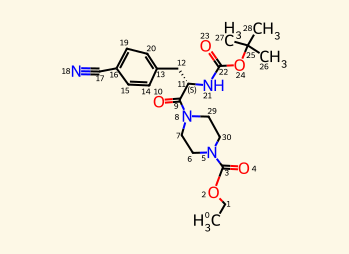 CCOC(=O)N1CCN(C(=O)[C@H](Cc2ccc(C#N)cc2)NC(=O)OC(C)(C)C)CC1